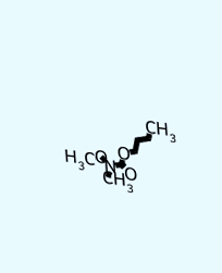 CCCCOC(=O)N(C)OC